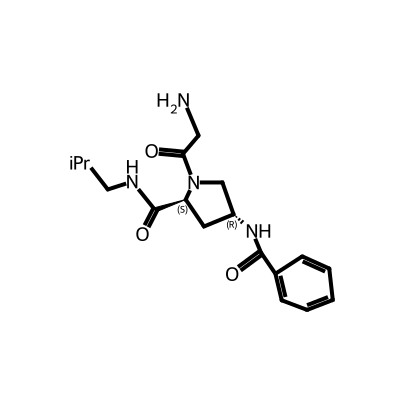 CC(C)CNC(=O)[C@@H]1C[C@@H](NC(=O)c2ccccc2)CN1C(=O)CN